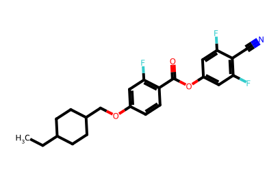 CCC1CCC(COc2ccc(C(=O)Oc3cc(F)c(C#N)c(F)c3)c(F)c2)CC1